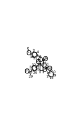 COc1ccc(COC(=O)[C@H](CC(=O)OC2CCCCC2)NC(=O)c2ccc(C(C)=O)cc2)cc1